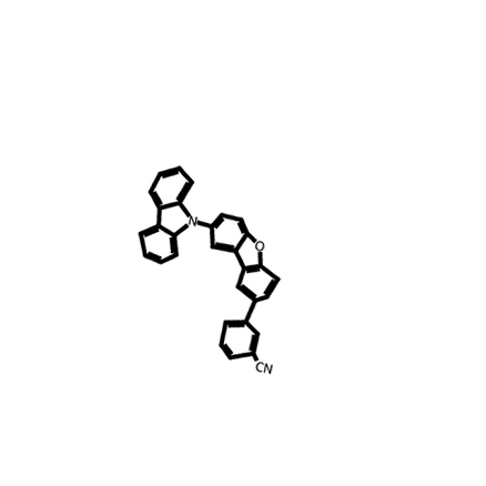 N#Cc1cccc(-c2ccc3oc4ccc(-n5c6ccccc6c6ccccc65)cc4c3c2)c1